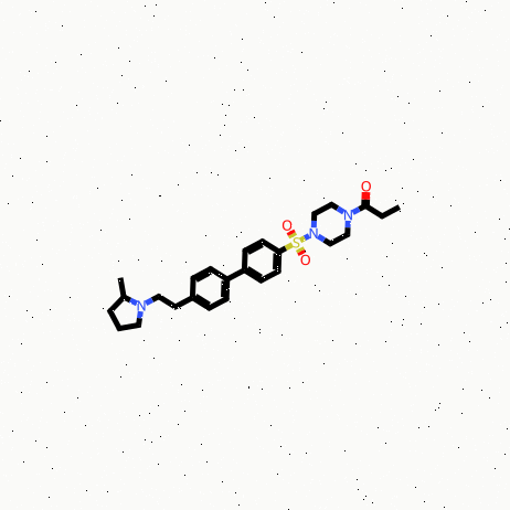 CCC(=O)N1CCN(S(=O)(=O)c2ccc(-c3ccc(CCN4CCCC4C)cc3)cc2)CC1